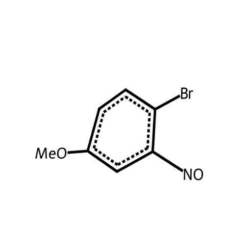 COc1ccc(Br)c(N=O)c1